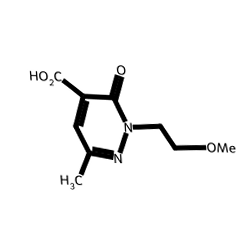 COCCn1nc(C)cc(C(=O)O)c1=O